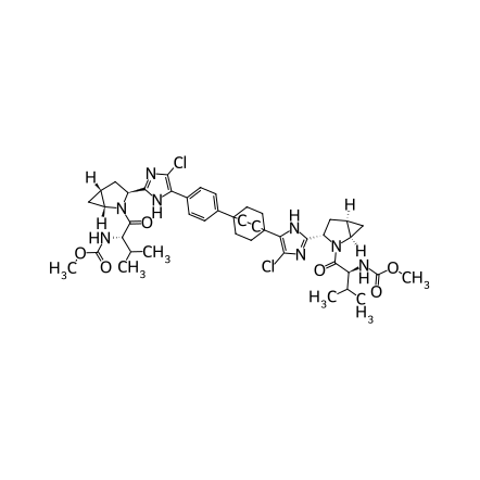 COC(=O)N[C@H](C(=O)N1[C@@H]2C[C@@H]2C[C@H]1c1nc(Cl)c(-c2ccc(C34CCC(c5[nH]c([C@@H]6C[C@H]7C[C@H]7N6C(=O)[C@@H](NC(=O)OC)C(C)C)nc5Cl)(CC3)CC4)cc2)[nH]1)C(C)C